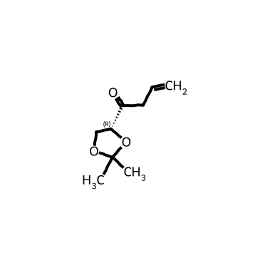 C=CCC(=O)[C@H]1COC(C)(C)O1